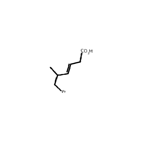 CC(C)CC(C)C=CCC(=O)O